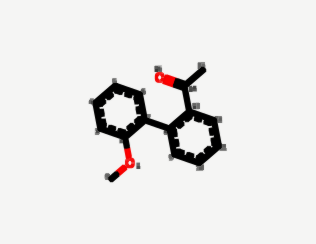 COc1ccccc1-c1ccccc1C(C)=O